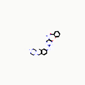 CCN1CCN(Cc2ccc(Nc3ncc4c(n3)Oc3ccccc3C(=O)N4C)cc2C)CC1